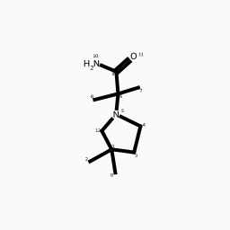 CC1(C)CCN(C(C)(C)C(N)=O)C1